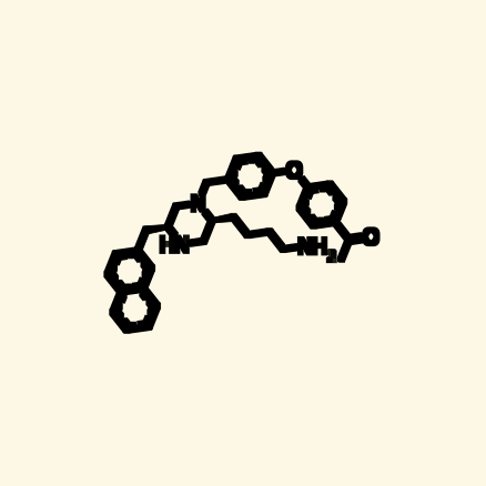 CC(=O)c1ccc(Oc2ccc(CN3C[C@H](Cc4ccc5ccccc5c4)NC[C@@H]3CCCCN)cc2)cc1